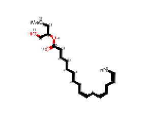 CCC/C=C\C/C=C\C/C=C\CCCCCCCC(=O)OC(CO)COC